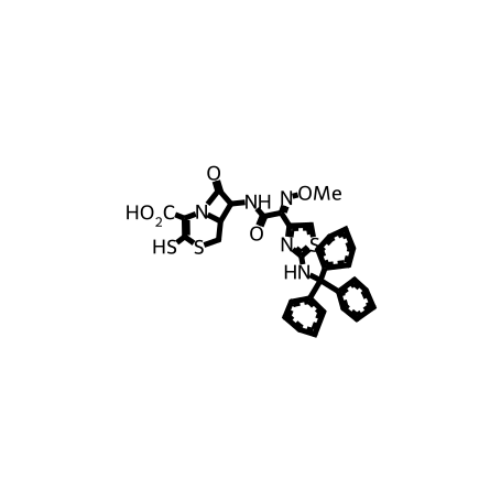 CON=C(C(=O)NC1C(=O)N2C(C(=O)O)=C(S)SCC12)c1csc(NC(c2ccccc2)(c2ccccc2)c2ccccc2)n1